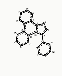 c1ccc(-c2csc3c4ccccc4c4ccccc4c23)cc1